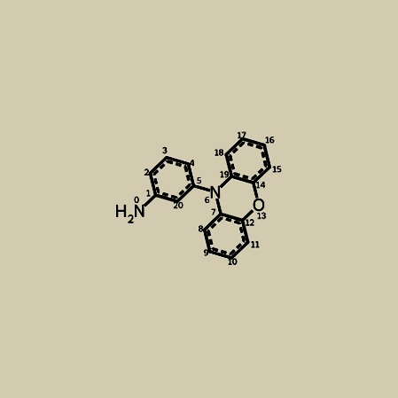 Nc1cccc(N2c3ccccc3Oc3ccccc32)c1